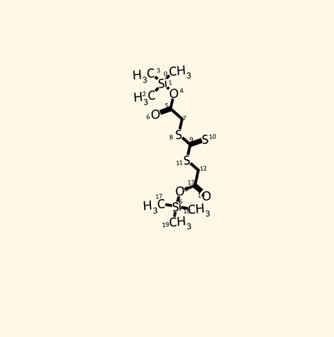 C[Si](C)(C)OC(=O)CSC(=S)SCC(=O)O[Si](C)(C)C